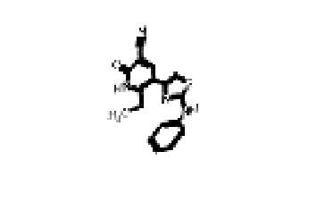 CCc1[nH]c(=O)c(C#N)cc1-c1csc(Nc2ccccc2)n1